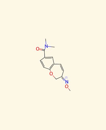 CO/N=C1/C=Cc2cc(C(=O)N(C)C)ccc2OC1